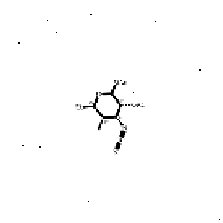 CC[C@H]1OC(OC(C)=O)[C@H](OC(C)=O)[C@@H](N=[N+]=[N-])[C@H]1C